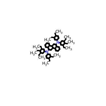 CCc1ccc(N(c2cc(CC)c(CC)c(CC)c2)c2cc3c4ccccc4c(N(c4ccc(CC)c(CC)c4)c4cc(CC)c(CC)c(CC)c4)cc3c3ccccc23)cc1CC